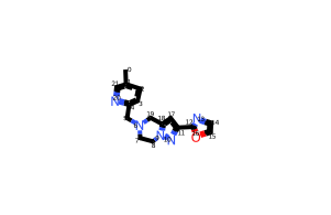 Cc1ccc(CN2CCn3nc(-c4ncco4)cc3C2)nc1